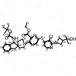 CCOC(=O)c1nc(Sc2ccnc(N3CC(C(C)(C)O)C3)c2Cl)cnc1N1CCC2(CC1)Cc1ccccc1[C@H]2NC(=O)OC(C)(C)C